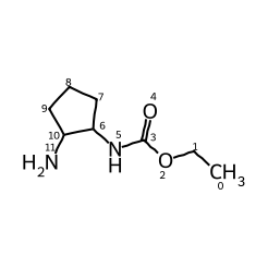 CCOC(=O)NC1CCCC1N